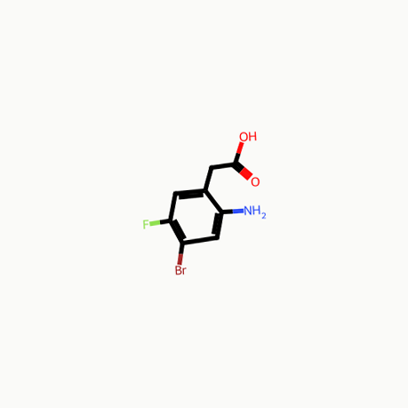 Nc1cc(Br)c(F)cc1CC(=O)O